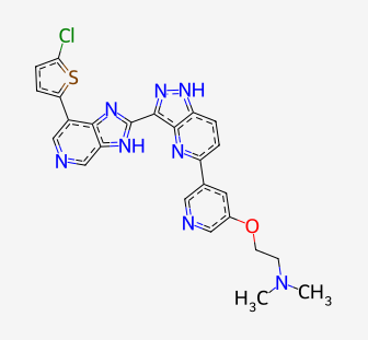 CN(C)CCOc1cncc(-c2ccc3[nH]nc(-c4nc5c(-c6ccc(Cl)s6)cncc5[nH]4)c3n2)c1